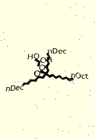 CCCCCCCC/C=C\CCCCCCC(CCCCCCCCCCCCCCCC)(CCCCCCCCCCCCCCCC)C(=O)OCC(O)CO